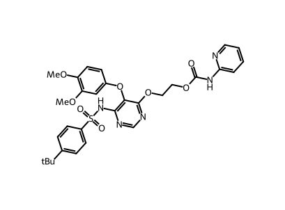 COc1ccc(Oc2c(NS(=O)(=O)c3ccc(C(C)(C)C)cc3)ncnc2OCCOC(=O)Nc2ccccn2)cc1OC